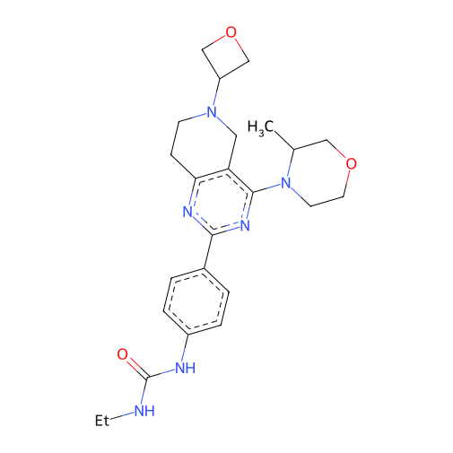 CCNC(=O)Nc1ccc(-c2nc3c(c(N4CCOCC4C)n2)CN(C2COC2)CC3)cc1